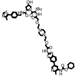 Cc1ncc(-c2ccc3nc(NC(=O)COCCN4CCN(CCOCC(=O)N[C@H](C(=O)N5C[C@H](O)C[C@H]5C(=O)NCc5ccc(-c6scnc6C)cc5)C(C)(C)C)CC4)sc3c2)cc1NC(=O)OC1CCCCC1